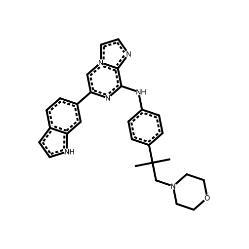 CC(C)(CN1CCOCC1)c1ccc(Nc2nc(-c3ccc4cc[nH]c4c3)cn3ccnc23)cc1